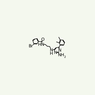 Cc1cccc(-c2cc(NCCCNC(=O)c3cccc(Br)c3)nc(N)n2)c1C